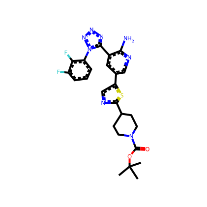 CC(C)(C)OC(=O)N1CCC(c2ncc(-c3cnc(N)c(-c4nnnn4-c4cccc(F)c4F)c3)s2)CC1